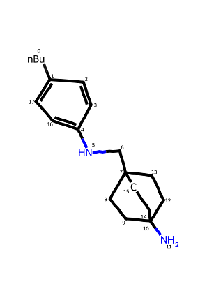 CCCCc1ccc(NCC23CCC(N)(CC2)CC3)cc1